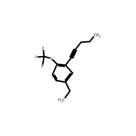 CCCC#Cc1cc(CC)ccc1SC(F)(F)F